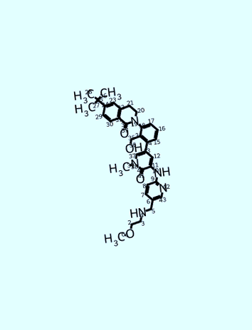 COCCNCc1ccc(Nc2cc(-c3cccc(N4CCc5cc(C(C)(C)C)ccc5C4=O)c3CO)cn(C)c2=O)nc1